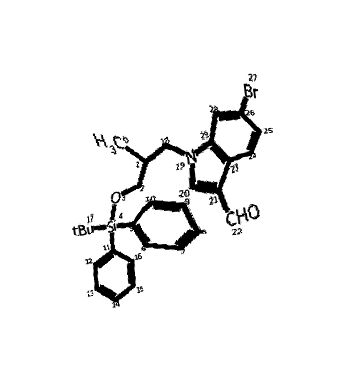 CC(CO[Si](c1ccccc1)(c1ccccc1)C(C)(C)C)Cn1cc(C=O)c2ccc(Br)cc21